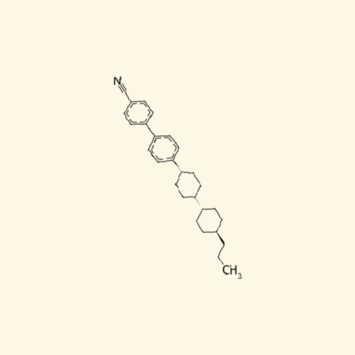 CCC[C@H]1CC[C@H](C2CCC(c3ccc(-c4ccc(C#N)cc4)cc3)CC2)CC1